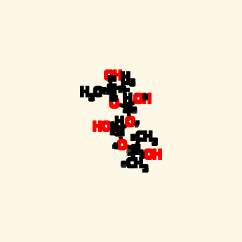 C[Si](C)(O)O[SiH](O)O[SiH](O)O[Si](C)(C)O